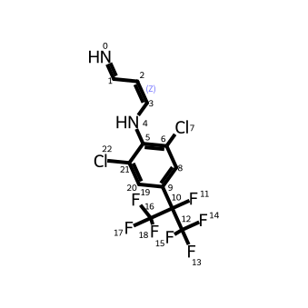 N=C/C=C\Nc1c(Cl)cc(C(F)(C(F)(F)F)C(F)(F)F)cc1Cl